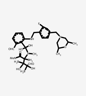 BC(O)(C=O)C(B)(O)C(B)(C(=O)NC)N(C)C(O)(O)c1c(C=O)cccc1NCc1ccc(CN2CC(C)OC(C)C2)cc1F